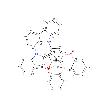 c1ccc2c(c1)Oc1cc(-n3c4ccccc4c4cccc(-n5c6ccccc6c6ccccc65)c43)cc3c1B2c1ccccc1O3